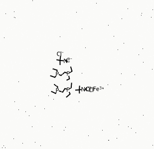 CCP(CC)CCP(CC)CC.CCP(CC)CCP(CC)CC.[C-]#[N+]C(C)(C)C.[C-]#[N+]C(C)(C)C.[Cl-].[Cl-].[Cl-].[Fe+3]